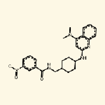 CN(C)c1cc(NC2CCC(CNC(=O)c3cccc([N+](=O)[O-])c3)CC2)nc2ccccc12